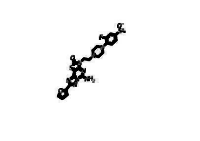 C[S@+]([O-])c1ccc(N2CCN(CCn3c(=O)sc4c3nc(N)n3nc(-c5ccco5)nc43)CC2)c(F)c1